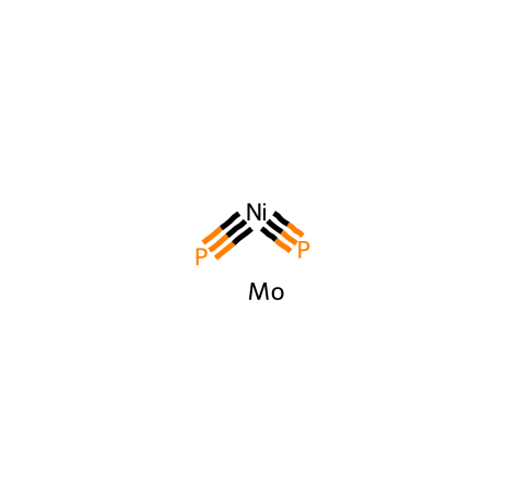 [Mo].[P]#[Ni]#[P]